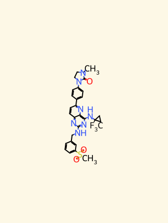 CN1CCN(c2ccc(-c3ccc4nc(NCc5cccc(S(C)(=O)=O)c5)nc(NC5(C(F)(F)F)CC5)c4n3)cc2)C1=O